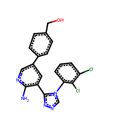 Nc1ncc(-c2ccc(CO)cc2)cc1-c1nncn1-c1cccc(Cl)c1Cl